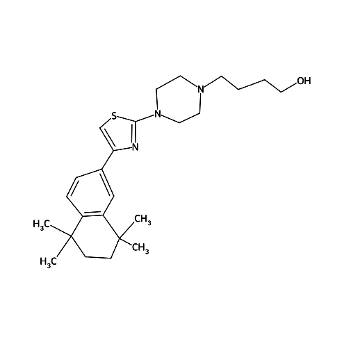 CC1(C)CCC(C)(C)c2cc(-c3csc(N4CCN(CCCCO)CC4)n3)ccc21